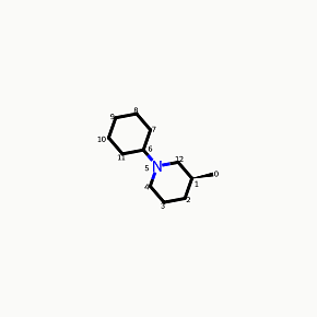 C[C@H]1CCCN(C2CCCCC2)C1